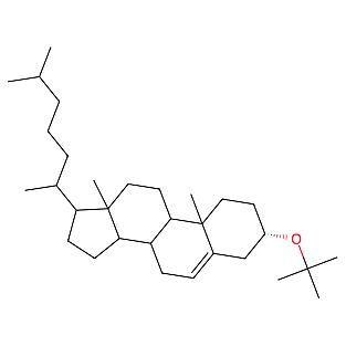 CC(C)CCCC(C)C1CCC2C3CC=C4C[C@@H](OC(C)(C)C)CCC4(C)C3CCC12C